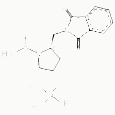 CB(O)N1C[C@@H](O[Si](C)(C)C(C)(C)C)C[C@@H]1CN1C(=O)c2ccccc2C1=O